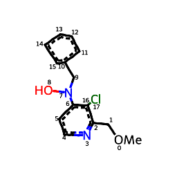 COCc1nccc(N(O)Cc2ccccc2)c1Cl